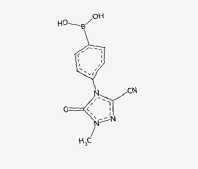 Cn1nc(C#N)n(-c2ccc(B(O)O)cc2)c1=O